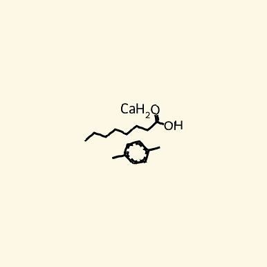 CCCCCCCC(=O)O.Cc1ccc(C)cc1.[CaH2]